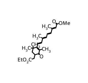 CCOC(=O)CC1CC(C)(C)C(/C=C/C(C)=C/C=C/C(C)=C/C(=O)OC)=C(C)C1=O